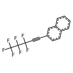 FC(F)(F)C(F)(F)C(F)(F)C#Cc1ccc2ccccc2c1